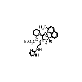 CCOC(=O)O[C@@H]1CCCCN1C(=O)[C@H](CCCNc1ncc[nH]1)NS(=O)(=O)c1cccc2ccc(C)nc12